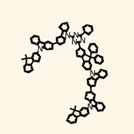 CC1(C)c2ccccc2-c2ccc(-n3c4ccccc4c4cc(-c5ccc6c(c5)c5ccccc5n6-c5ccc6c(c5)C(c5ccccc5)(c5ccccc5)c5cc(-c7nc(-c8ccccc8)nc(-n8c9ccccc9c9cc(-c%10ccc%11c(c%10)c%10ccccc%10n%11-c%10ccc%11c(c%10)C(C)(C)c%10ccccc%10-%11)ccc98)n7)ccc5-6)ccc43)cc21